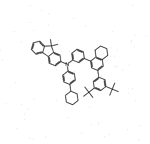 CC(C)(C)c1cc(-c2cc3c(c(-c4cccc(N(c5ccc(C6CCCCC6)cc5)c5ccc6c(c5)C(C)(C)c5ccccc5-6)c4)c2)CCCC3)cc(C(C)(C)C)c1